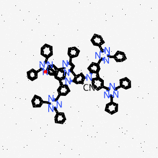 N#Cc1cc(-n2c3ccc(-c4nc(-c5ccccc5)nc(-c5ccccc5)n4)cc3c3cc(-c4nc(-c5ccccc5)nc(-c5ccccc5)n4)ccc32)c(-c2cc(-c3ccccc3)nc(-c3ccccc3)n2)cc1-n1c2ccc(-c3nc(-c4ccccc4)nc(-c4ccccc4)n3)cc2c2cc(-c3nc(-c4ccccc4)nc(-c4ccccc4)n3)ccc21